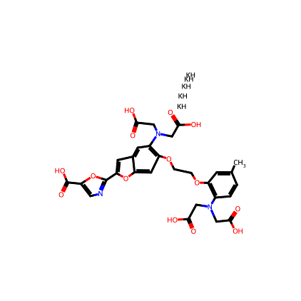 Cc1ccc(N(CC(=O)O)CC(=O)O)c(OCCOc2cc3oc(-c4ncc(C(=O)O)o4)cc3cc2N(CC(=O)O)CC(=O)O)c1.[KH].[KH].[KH].[KH].[KH]